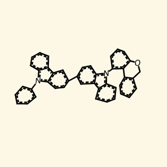 c1ccc(-n2c3ccccc3c3cc(-c4ccc5c(c4)c4ccccc4n5-c4cccc5c4-c4ccccc4CO5)ccc32)cc1